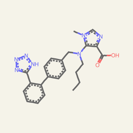 CCCCN(Cc1ccc(-c2ccccc2-c2nnn[nH]2)cc1)c1c(C(=O)O)ncn1C